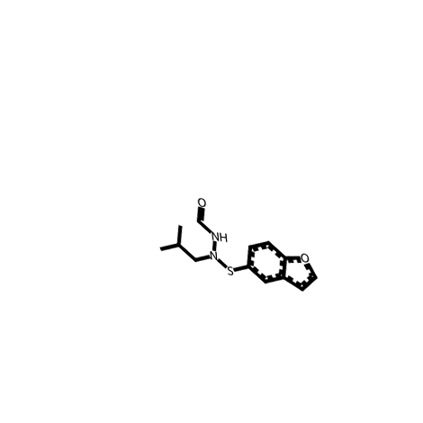 CC(C)CN(NC=O)Sc1ccc2occc2c1